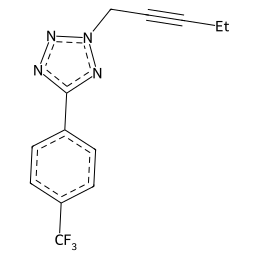 CCC#CCn1nnc(-c2ccc(C(F)(F)F)cc2)n1